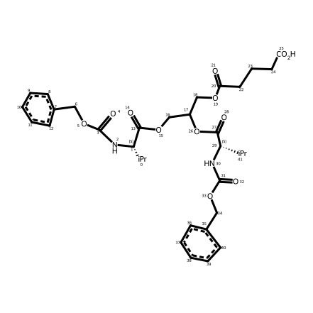 CC(C)[C@H](NC(=O)OCc1ccccc1)C(=O)OCC(COC(=O)CCCC(=O)O)OC(=O)[C@@H](NC(=O)OCc1ccccc1)C(C)C